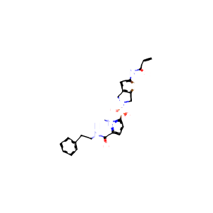 C=CC(=O)Nc1cc2c(s1)CN(S(=O)(=O)c1ccc(C(=O)NCCc3ccccc3)n1C)C2